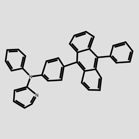 c1ccc(-c2c3ccccc3c(-c3ccc(N(c4ccccc4)c4ccccn4)cc3)c3ccccc23)cc1